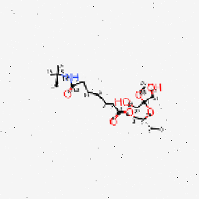 CC[C@H](COC(=O)CCCCCC(=O)NC(C)(C)C)OC(CO)(CO)OC